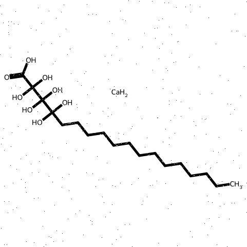 CCCCCCCCCCCCCCC(O)(O)C(O)(O)C(O)(O)C(=O)O.[CaH2]